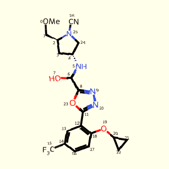 COC[C@@H]1C[C@@H](NC(O)c2nnc(-c3cc(C(F)(F)F)ccc3OC3CC3)o2)CN1C#N